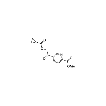 COC(=O)c1ccc(C(=O)COC(=O)C2CC2)cn1